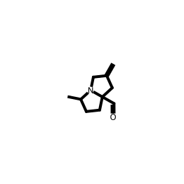 C=C1CN2C(C)CCC2(C=O)C1